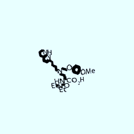 CCN(CC)C(=O)N[C@@H](CCN(CCCCc1ccc2c(n1)NCCC2)CCOc1ccc(OC)cc1)C(=O)O